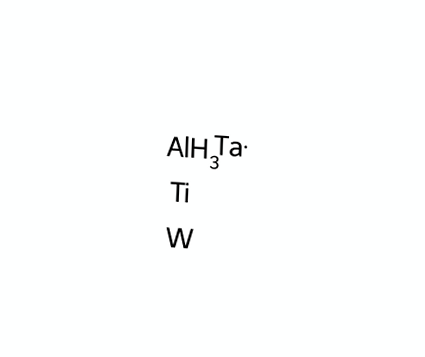 [AlH3].[Ta].[Ti].[W]